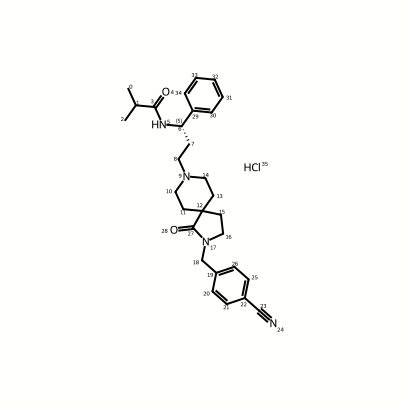 CC(C)C(=O)N[C@@H](CCN1CCC2(CC1)CCN(Cc1ccc(C#N)cc1)C2=O)c1ccccc1.Cl